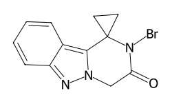 O=C1Cn2nc3ccccc3c2C2(CC2)N1Br